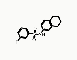 O=S(=O)(Nc1ccc2c(c1)CCCC2)c1cccc(F)c1